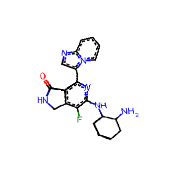 NC1CCCCC1Nc1nc(-c2cnc3ccccn23)c2c(c1F)CNC2=O